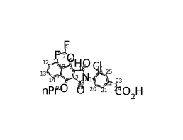 CCCOc1c2c(c(OC(F)F)c3ccccc13)C(O)N(c1ccc(CC(=O)O)cc1Cl)C2=O